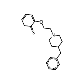 S=C1CC=CC=C1OCCN1CCC(Cc2ccccc2)CC1